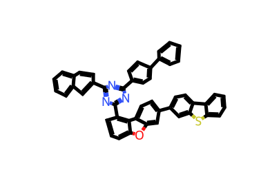 c1ccc(-c2ccc(-c3nc(-c4ccc5ccccc5c4)nc(-c4cccc5oc6cc(-c7ccc8c(c7)sc7ccccc78)ccc6c45)n3)cc2)cc1